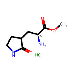 COC(=O)[C@@H](N)CC1CCNC1=O.Cl